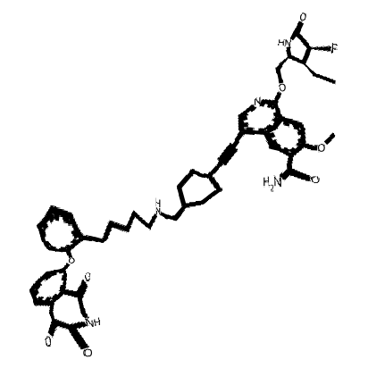 CC[C@@H]1[C@H](F)C(=O)N[C@@H]1COc1ncc(C#CC2CCC(CNCCCCCc3ccccc3Oc3cccc4c3C(=O)NC(=O)C4=O)CC2)c2cc(C(N)=O)c(OC)cc12